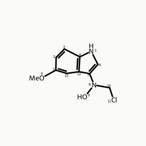 COc1ccc2[nH]cc(N(O)CCl)c2c1